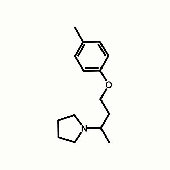 Cc1ccc(OCCC(C)N2CCCC2)cc1